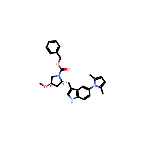 CO[C@@H]1C[C@@H](Cc2c[nH]c3ccc(-n4c(C)ccc4C)cc23)N(C(=O)OCc2ccccc2)C1